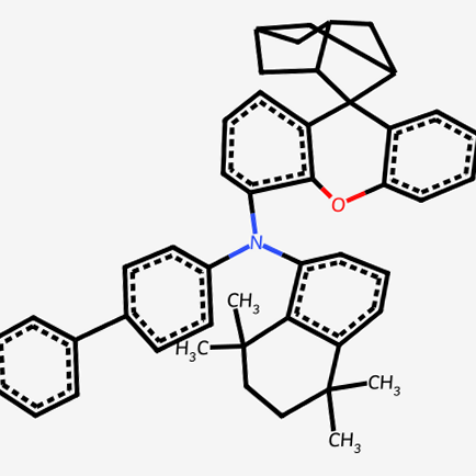 CC1(C)CCC(C)(C)c2c(N(c3ccc(-c4ccccc4)cc3)c3cccc4c3Oc3ccccc3C43C4CC5CC(C4)C3C5)cccc21